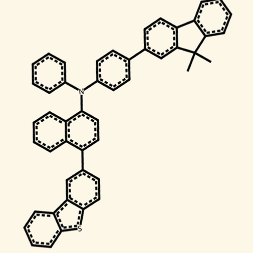 CC1(C)c2ccccc2-c2ccc(-c3ccc(N(c4ccccc4)c4ccc(-c5ccc6sc7ccccc7c6c5)c5ccccc45)cc3)cc21